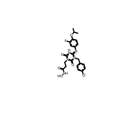 CC(C)Oc1ccc(/N=c2\[nH]c(=O)n(CCC(=O)NO)c(=O)n2Cc2ccc(Cl)cc2)cc1F